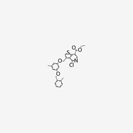 CCOC(=O)c1cnc(Cl)c2c(COc3cc(C)cc(OCc4ccccc4C)c3)csc12